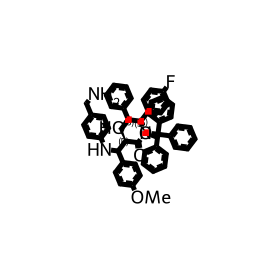 COc1ccc(C(Nc2ccc(CN)cc2)[C@@H](CC[C@H](OC(c2ccccc2)(c2ccccc2)c2ccccc2)c2ccc(F)cc2)C(=O)N(C)[C@@H](C)[C@@H](O)c2ccccc2)cc1